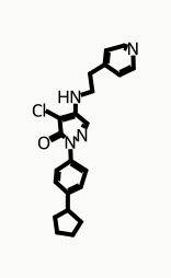 O=c1c(Cl)c(NCCc2ccncc2)cnn1-c1ccc(C2CCCC2)cc1